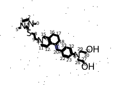 Cn1cc[n+](C)c1SCC[n+]1ccc2c(c1)CCC/C2=C\c1ccc(N(CCO)CCO)cc1